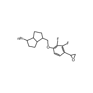 CCCC1CCC2C(COc3ccc(C4CO4)c(F)c3F)CCC12